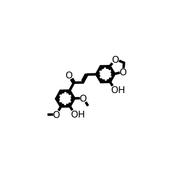 COc1ccc(C(=O)/C=C/c2cc(O)c3c(c2)OCO3)c(OC)c1O